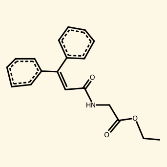 CCOC(=O)CNC(=O)C=C(c1ccccc1)c1ccccc1